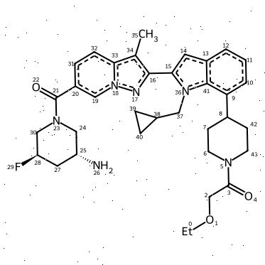 CCOCC(=O)N1CCC(c2cccc3cc(-c4nn5cc(C(=O)N6C[C@H](N)C[C@@H](F)C6)ccc5c4C)n(CC4CC4)c23)CC1